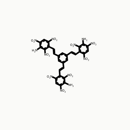 Nc1c([N+](=O)[O-])cc([N+](=O)[O-])c(C=Cc2cc(C=Cc3c([N+](=O)[O-])cc([N+](=O)[O-])c(N)c3[N+](=O)[O-])cc(C=Cc3c([N+](=O)[O-])cc([N+](=O)[O-])c(N)c3[N+](=O)[O-])c2)c1[N+](=O)[O-]